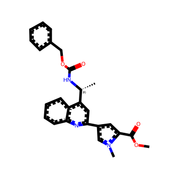 COC(=O)c1cc(-c2cc([C@@H](C)NC(=O)OCc3ccccc3)c3ccccc3n2)cn1C